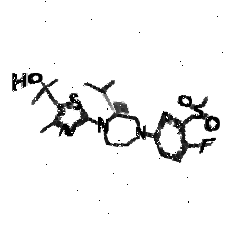 Cc1nc(N2CCN(c3ccc(F)c(S(C)(=O)=O)c3)C[C@H]2C(C)C)sc1C(C)(C)O